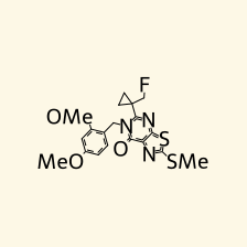 COc1ccc(Cn2c(C3(CF)CC3)nc3sc(SC)nc3c2=O)c(OC)c1